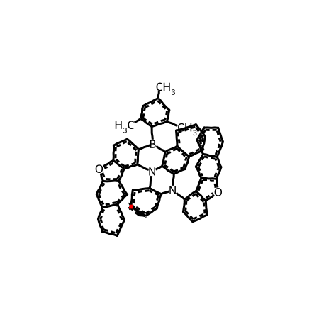 Cc1cc(C)c(B2c3ccc4oc5cc6ccccc6cc5c4c3N3c4cc5ccccc5cc4N(c4cccc5oc6cc7ccccc7cc6c45)c4cc5ccccc5c2c43)c(C)c1